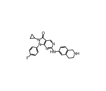 O=c1c2cnc(Nc3ccc4c(c3)CCNC4)nc2n(-c2ccc(F)cc2)n1C1CC1